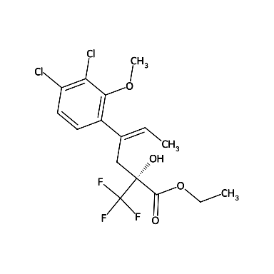 CC=C(C[C@@](O)(C(=O)OCC)C(F)(F)F)c1ccc(Cl)c(Cl)c1OC